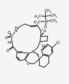 CC(C)(C)[Si](C)(C)O[C@H]1/C=C/CCNS(=O)(=O)NC(=O)c2ccc3c(c2)N(C[C@@H]2CC[C@H]21)C[C@@]1(CCCc2cc(Cl)ccc21)CO3